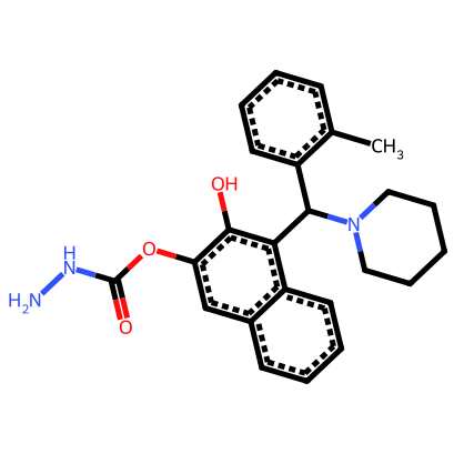 Cc1ccccc1C(c1c(O)c(OC(=O)NN)cc2ccccc12)N1CCCCC1